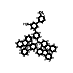 Cc1cccc(-c2cc(C)cc(-c3ccc(N(c4ccc5c(c4)C4(c6ccccc6-c6ccccc64)c4ccccc4-5)c4ccc5c(c4)C4(c6ccccc6-c6ccccc64)c4ccccc4-5)cc3)c2)c1